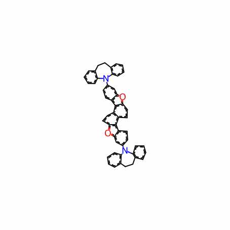 c1ccc2c(c1)CCc1ccccc1N2c1ccc2c(c1)oc1ccc3c(ccc4oc5cc(N6c7ccccc7CCc7ccccc76)ccc5c43)c12